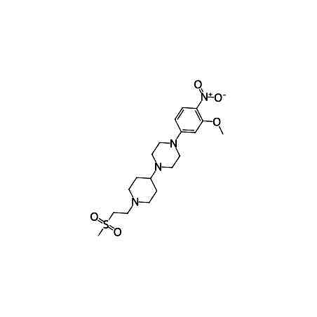 COc1cc(N2CCN(C3CCN(CCS(C)(=O)=O)CC3)CC2)ccc1[N+](=O)[O-]